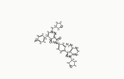 Nc1ncnc2c1c(-c1ccc(NC(=O)c3nn(CC4CCOC4)cc(-c4ccc(F)cc4)c3=O)cc1)nn2C1CCOC1